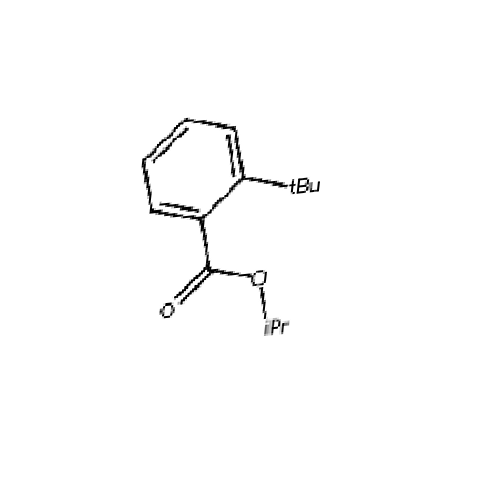 CC(C)OC(=O)c1ccccc1C(C)(C)C